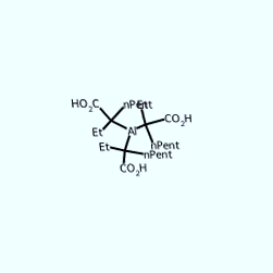 CCCCC[C](CC)(C(=O)O)[Al]([C](CC)(CCCCC)C(=O)O)[C](CC)(CCCCC)C(=O)O